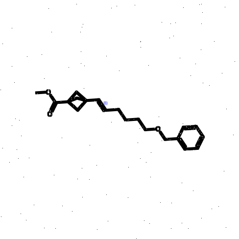 COC(=O)C12CC(/C=C/CCCCOCc3ccccc3)(C1)C2